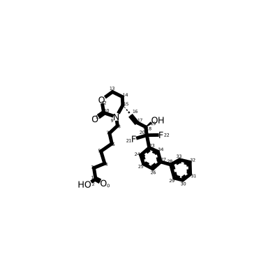 O=C(O)CCCCCCN1C(=O)OCC[C@@H]1C=C[C@@H](O)C(F)(F)c1cccc(-c2ccccc2)c1